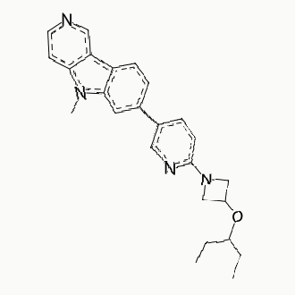 CCC(CC)OC1CN(c2ccc(-c3ccc4c5cnccc5n(C)c4c3)cn2)C1